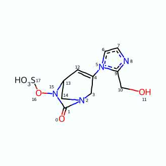 O=C1N2CC(n3ccnc3CO)=CC(C2)N1OS(=O)(=O)O